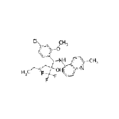 CCSCC(O)(C(Nc1cccc2nc(C)ccc12)c1ccc(Cl)cc1OC)C(F)(F)F